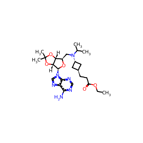 CCOC(=O)CC[C@H]1C[C@H](N(C[C@H]2O[C@@H](n3cnc4c(N)ncnc43)[C@@H]3OC(C)(C)O[C@@H]32)C(C)C)C1